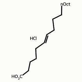 CCCCCCCCCCCC=CCCCCC(=O)O.Cl